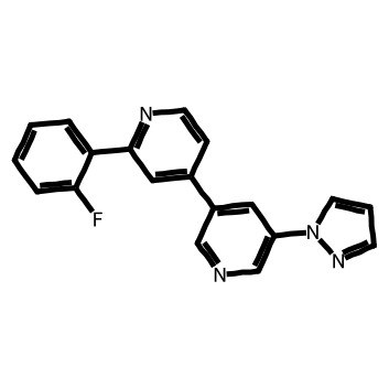 Fc1ccccc1-c1cc(-c2cncc(-n3cccn3)c2)ccn1